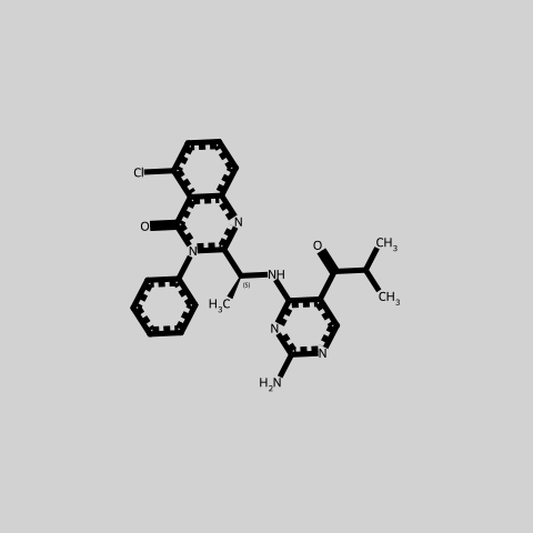 CC(C)C(=O)c1cnc(N)nc1N[C@@H](C)c1nc2cccc(Cl)c2c(=O)n1-c1ccccc1